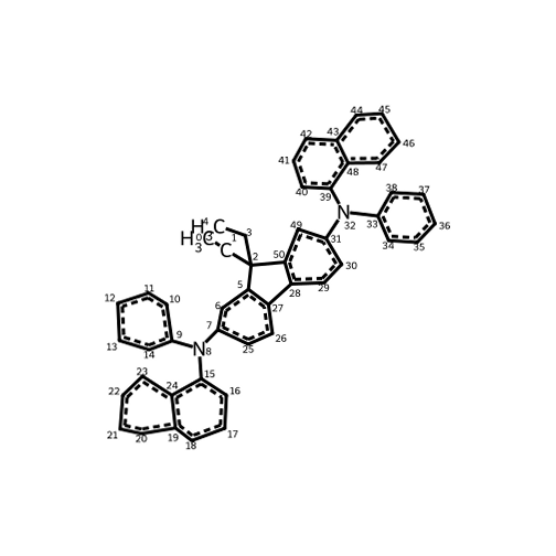 CCC1(CC)c2cc(N(c3ccccc3)c3cccc4ccccc34)ccc2-c2ccc(N(c3ccccc3)c3cccc4ccccc34)cc21